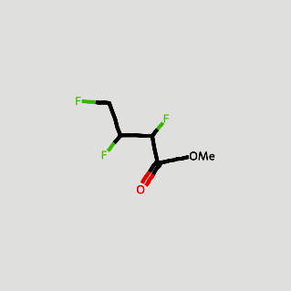 COC(=O)C(F)C(F)CF